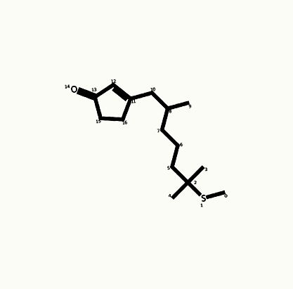 CSC(C)(C)CCCC(C)CC1=CC(=O)CC1